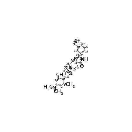 Cc1cc(N(C)C)cc(C)c1CCS(=O)(=O)N1CCC2(CC1)N=C(c1cccc(SC(F)(F)F)c1)NC2=O